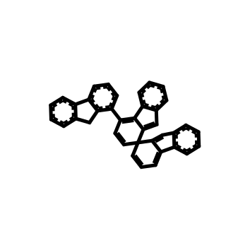 C1=CC2(C=CC(c3cccc4c3Cc3ccccc3-4)=C3C2=Cc2ccccc23)C2=Cc3ccccc3C2=C1